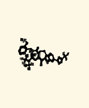 [2H]C([2H])([2H])N(C(=O)CN1C(=O)c2oc3cc(-c4nc(C(F)(F)F)cs4)ccc3c2OC[C@]1(C)C(=O)NCc1ncccc1OC)C([2H])([2H])[2H]